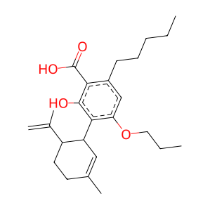 C=C(C)C1CCC(C)=CC1c1c(OCCC)cc(CCCCC)c(C(=O)O)c1O